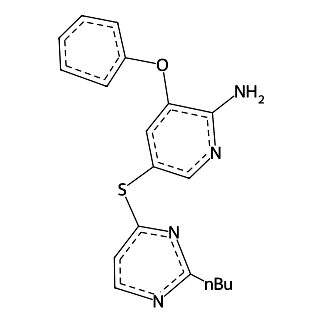 CCCCc1nccc(Sc2cnc(N)c(Oc3ccccc3)c2)n1